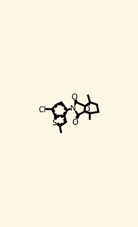 Cc1cc2c(N3C(=O)C4C(C3=O)C3(C)CCC4(C)O3)ccc(Cl)c2s1